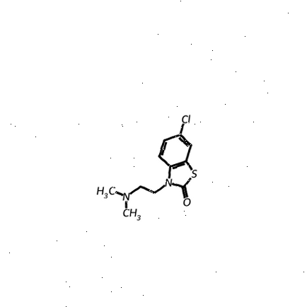 CN(C)CCn1c(=O)sc2cc(Cl)ccc21